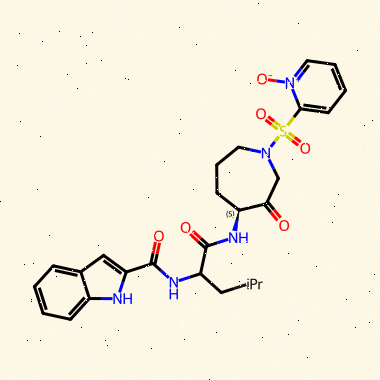 CC(C)CC(NC(=O)c1cc2ccccc2[nH]1)C(=O)N[C@H]1CCCN(S(=O)(=O)c2cccc[n+]2[O-])CC1=O